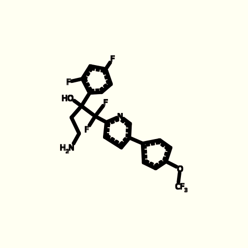 NCCC(O)(c1ccc(F)cc1F)C(F)(F)c1ccc(-c2ccc(OC(F)(F)F)cc2)cn1